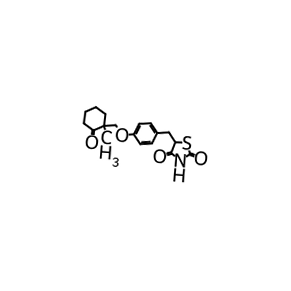 CC1(COc2ccc(CC3SC(=O)NC3=O)cc2)CCCCC1=O